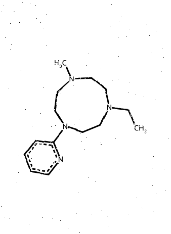 CCN1CCN(C)CCN(c2ccccn2)CC1